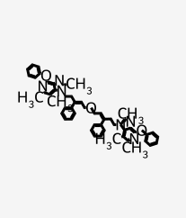 Cc1nc(Oc2ccccc2)c2nc(C)n(CCC(=CCOCC=C(CCn3c(C)nc4c(Oc5ccccc5)nc(C)c(C)c43)c3ccccc3)c3ccccc3)c2c1C